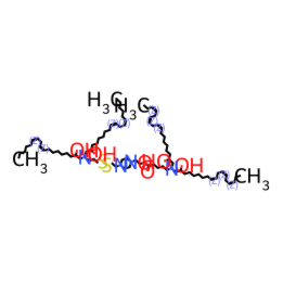 CC/C=C\C/C=C\C/C=C\CCCCCCC(O)CN(CCCCC(=O)OCCN1CCN(CCSSCCCN(CC(O)CCCCCC/C=C\C/C=C\CCCCC)CC(O)CCCCCC/C=C\C/C=C\CCCCC)CC1)CC(O)CCCCCC/C=C\C/C=C\C/C=C\CC